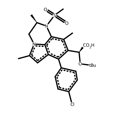 Cc1c([C@H](OC(C)(C)C)C(=O)O)c(-c2ccc(Cl)cc2)c2cc(C)n3c2c1N(S(C)(=O)=O)[C@H](C)C3